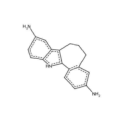 Nc1ccc2c(c1)CCCc1c-2[nH]c2ccc(N)cc12